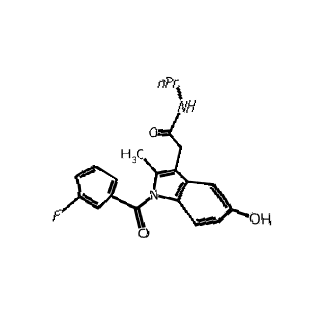 CCCNC(=O)Cc1c(C)n(C(=O)c2cccc(F)c2)c2ccc(O)cc12